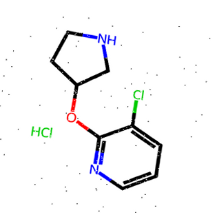 Cl.Clc1cccnc1OC1CCNC1